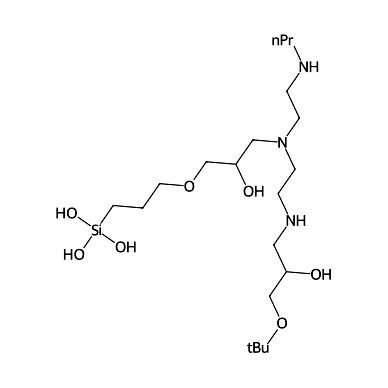 CCCNCCN(CCNCC(O)COC(C)(C)C)CC(O)COCCC[Si](O)(O)O